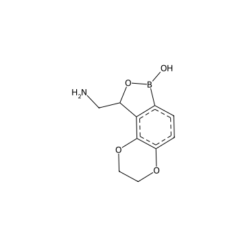 NCC1OB(O)c2ccc3c(c21)OCCO3